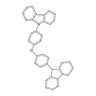 c1ccc2c(c1)-c1ccccc1C2c1ccc(Oc2ccc(-n3c4ccccc4c4ccccc43)cc2)cc1